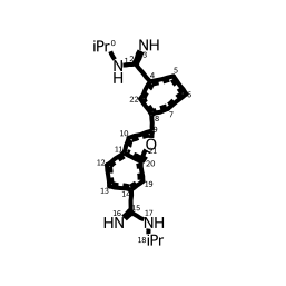 CC(C)NC(=N)c1cccc(-c2cc3ccc(C(=N)NC(C)C)cc3o2)c1